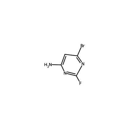 Nc1cc(Br)nc(F)n1